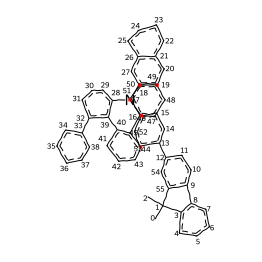 CC1(C)c2ccccc2-c2ccc(-c3ccc(N(c4ccc5ccccc5c4)c4cccc(-c5ccccc5)c4-c4ccccc4-c4ccccc4)cc3)cc21